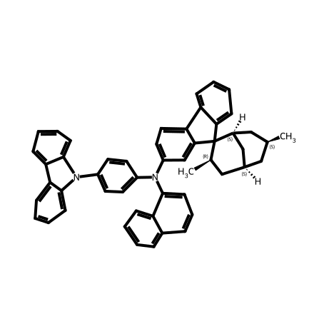 C[C@H]1C[C@@H]2C[C@H](C1)C1(c3ccccc3-c3ccc(N(c4ccc(-n5c6ccccc6c6ccccc65)cc4)c4cccc5ccccc45)cc31)[C@H](C)C2